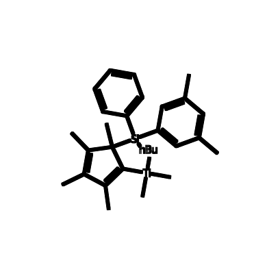 CCCC[Si](c1ccccc1)(c1cc(C)cc(C)c1)C1(C)C(C)=C(C)C(C)=[C]1[Ti]([CH3])([CH3])[CH3]